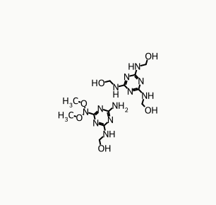 CON(OC)c1nc(N)nc(NCO)n1.OCNc1nc(NCO)nc(NCO)n1